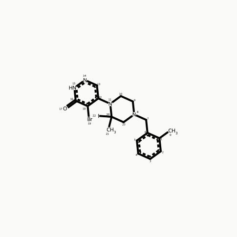 Cc1ccccc1CN1CCN(c2cn[nH]c(=O)c2Br)C(C)(I)C1